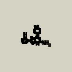 CC1(C)CCN(C2=CC(N)=NC3C=C(c4ccn[nH]4)SC23)CC1